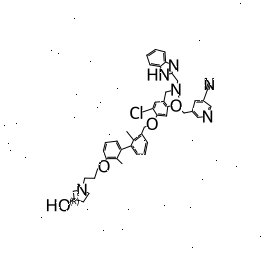 Cc1c(COc2cc(OCc3cncc(C#N)c3)c(CN(C)Cc3nc4ccccc4[nH]3)cc2Cl)cccc1-c1cccc(OCCCN2CC[C@@H](O)C2)c1C